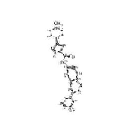 CN1CCC(c2nc(C(=O)Nc3cc4cc(-c5cncc(F)c5)cnc4cn3)co2)CC1